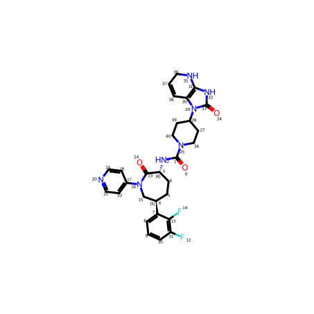 O=C(N[C@@H]1CC[C@@H](c2cccc(F)c2F)CN(c2ccncc2)C1=O)N1CCC(n2c3c([nH]c2=O)NCC=C3)CC1